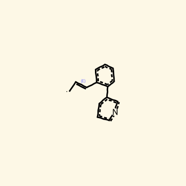 [CH2]/C=C/c1ccccc1-c1cccnc1